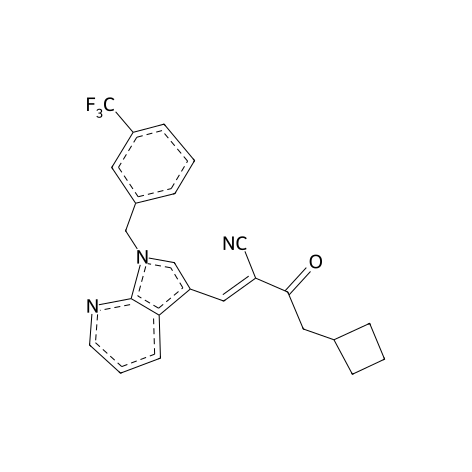 N#C/C(=C\c1cn(Cc2cccc(C(F)(F)F)c2)c2ncccc12)C(=O)CC1CCC1